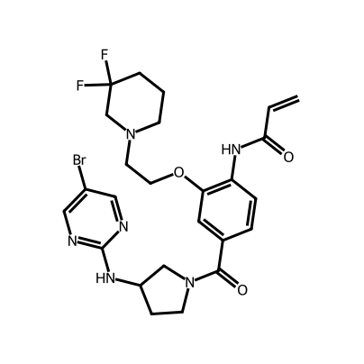 C=CC(=O)Nc1ccc(C(=O)N2CCC(Nc3ncc(Br)cn3)C2)cc1OCCN1CCCC(F)(F)C1